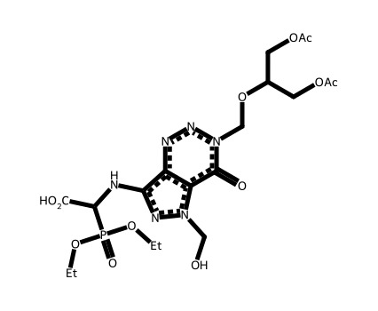 CCOP(=O)(OCC)C(Nc1nn(CO)c2c(=O)n(COC(COC(C)=O)COC(C)=O)nnc12)C(=O)O